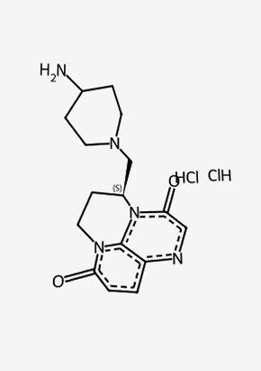 Cl.Cl.NC1CCN(C[C@@H]2CCn3c(=O)ccc4ncc(=O)n2c43)CC1